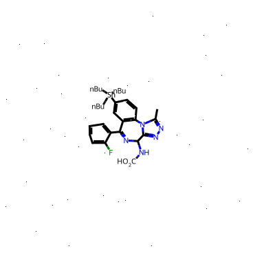 CCC[CH2][Sn]([CH2]CCC)([CH2]CCC)[c]1ccc2c(c1)C(c1ccccc1F)=NC(NC(=O)O)c1nnc(C)n1-2